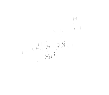 CCCCCCCCC1(CCCCCCCC)c2cc(N(c3ccc4c(c3)C(C)(C)c3cc(-c5ccc6c(c5)C(C)(C)c5cc(-c7ccc8c(c7)C(CCCCCCC)(CCCCCCC)c7ccccc7-8)ccc5-6)c5oc6ccccc6c5c3-4)c3c(C)cc(C)cc3C)ccc2-c2cc3c(cc21)-c1c(ccc2oc4ccccc4c12)C3(CCCCCCCC)CCCCCCCC